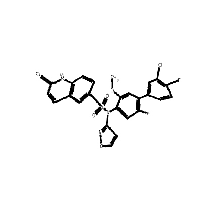 COc1cc(-c2ccc(F)c(Cl)c2)c(F)cc1N(c1ccon1)S(=O)(=O)c1ccc2[nH]c(=O)ccc2c1